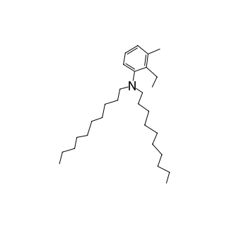 CCCCCCCCCCN(CCCCCCCCCC)c1cccc(C)c1CC